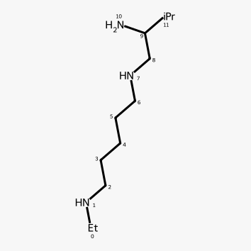 CCNCCCCCNCC(N)C(C)C